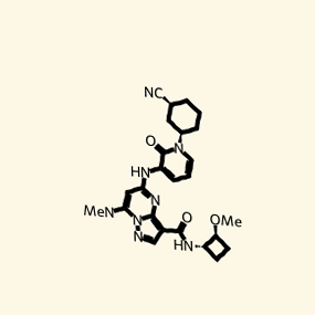 CNc1cc(Nc2cccn([C@@H]3CCC[C@H](C#N)C3)c2=O)nc2c(C(=O)N[C@H]3CC[C@@H]3OC)cnn12